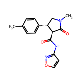 CN1C[C@@H](c2ccc(C(F)(F)F)cc2)[C@H](C(=O)Nc2ccon2)C1=O